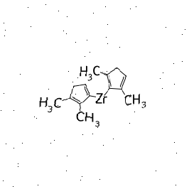 CC1=CCC(C)=[C]1[Zr][C]1=CCC(C)=C1C